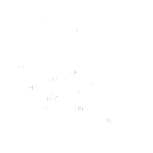 CC(C)(Oc1cc(Cl)c(F)cc1Cl)C(=O)NC1CC2CCC(C1)N2c1ccc(S(C)(=O)=O)cc1